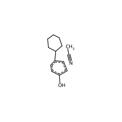 CC#N.Oc1ccc(C2CCCCC2)cc1